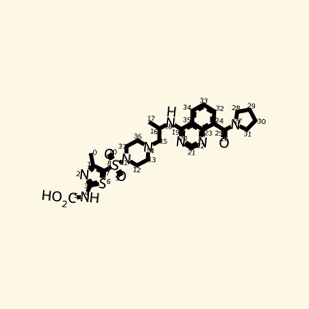 Cc1nc(NC(=O)O)sc1S(=O)(=O)N1CCN(CC(C)Nc2ncnc3c(C(=O)N4CCCC4)cccc23)CC1